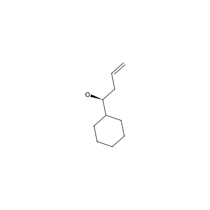 C=CC[C@H]([O])C1CCCCC1